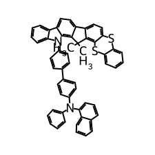 CC1(C)c2c(ccc3c2Sc2ccccc2S3)-c2ccc3c4ccccc4n(-c4ccc(-c5ccc(N(c6ccccc6)c6cccc7ccccc67)cc5)cc4)c3c21